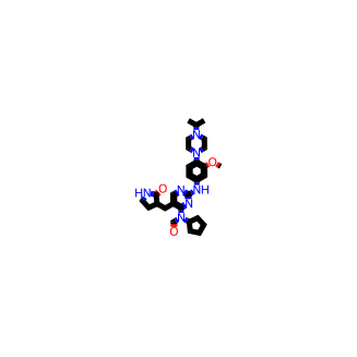 COc1cc(Nc2ncc(CC3CCNC3=O)c(N(C=O)C3CCCC3)n2)ccc1N1CCN(C(C)C)CC1